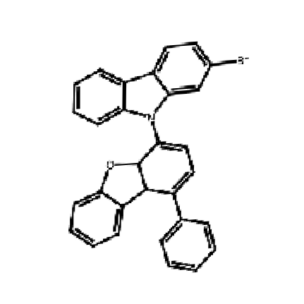 Brc1ccc2c3ccccc3n(C3=CC=C(c4ccccc4)C4c5ccccc5OC34)c2c1